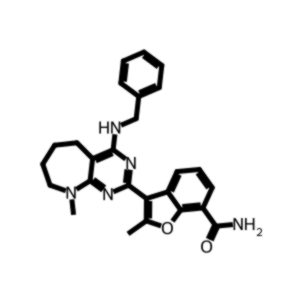 Cc1oc2c(C(N)=O)cccc2c1-c1nc(NCc2ccccc2)c2c(n1)N(C)CCCC2